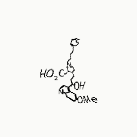 COc1ccc2nccc([C@H](O)CC[C@@H]3CCN(CCCCc4cccs4)C[C@@H]3CC(=O)O)c2c1